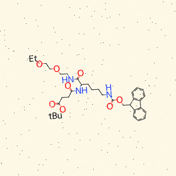 CCOCCOCCNC(=O)C(CCCCNC(=O)OCC1c2ccccc2-c2ccccc21)NC(=O)CCC(=O)OC(C)(C)C